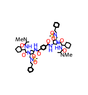 CN[C@@H](C)C(=O)N[C@H](C(=O)N1C[C@@H](NC(=O)c2ccc(C(=O)N[C@H]3C[C@@H](CN(CCc4ccccc4)S(C)(=O)=O)N(C(=O)[C@@H](NC(=O)[C@H](C)NC)C4CCCCC4)C3)cc2)C[C@H]1CN(CCc1ccccc1)S(C)(=O)=O)C1CCCCC1